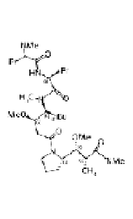 CC[C@H](C)[C@@H]([C@@H](CC(=O)N1CCC[C@H]1[C@H](OC)[C@@H](C)C(=O)NC)OC)N(C)C(=O)[C@@H](NC(=O)C(NC)C(C)C)C(C)C